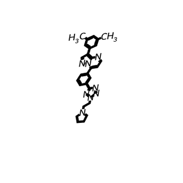 Cc1cc(C)cc(-c2cnn3c(-c4cccc(-c5nnn(CCN6CCCC6)n5)c4)ccnc23)c1